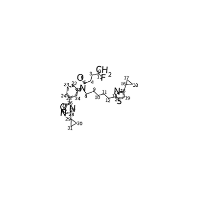 C=C(F)CCC(=O)N(CCCCCc1nc(C2CC2)cs1)c1cccc(-c2nc(C3CC3)no2)c1